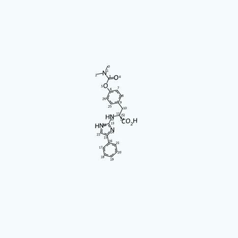 CN(C)C(=O)Oc1ccc(C[C@H](Nc2nc(-c3ccccc3)c[nH]2)C(=O)O)cc1